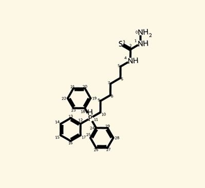 NNC(=S)NCCCCCC[PH](c1ccccc1)(c1ccccc1)c1ccccc1